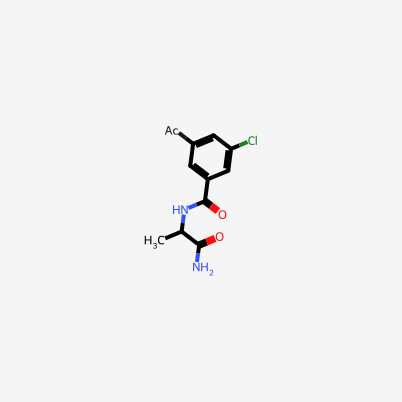 CC(=O)c1cc(Cl)cc(C(=O)NC(C)C(N)=O)c1